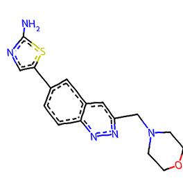 Nc1ncc(-c2ccc3nnc(CN4CCOCC4)cc3c2)s1